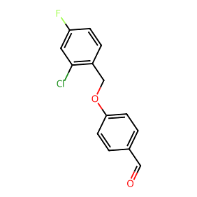 O=Cc1ccc(OCc2ccc(F)cc2Cl)cc1